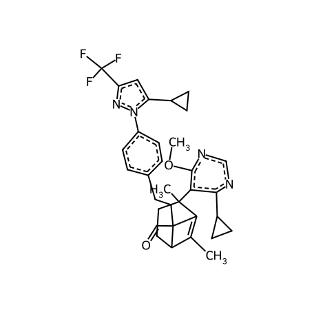 COc1ncnc(C2CC2)c1C1(C)CCC2C(C)=C1C2(C=O)CCc1ccc(-n2nc(C(F)(F)F)cc2C2CC2)cc1